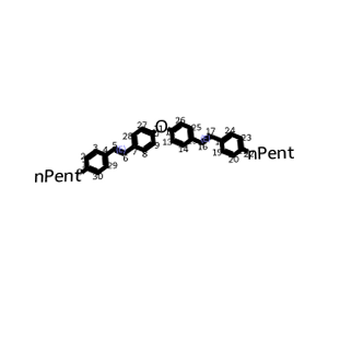 CCCCCc1ccc(/C=C/c2ccc(Oc3ccc(/C=C/c4ccc(CCCCC)cc4)cc3)cc2)cc1